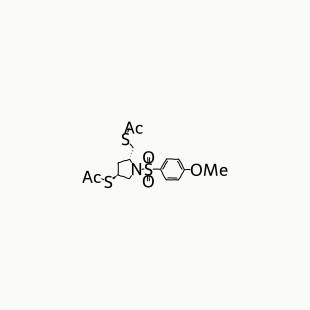 COc1ccc(S(=O)(=O)N2C[C@@H](SC(C)=O)C[C@@H]2CSC(C)=O)cc1